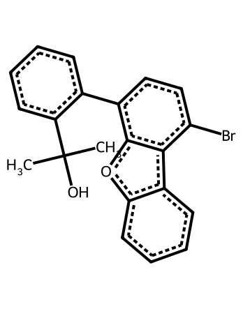 CC(C)(O)c1ccccc1-c1ccc(Br)c2c1oc1ccccc12